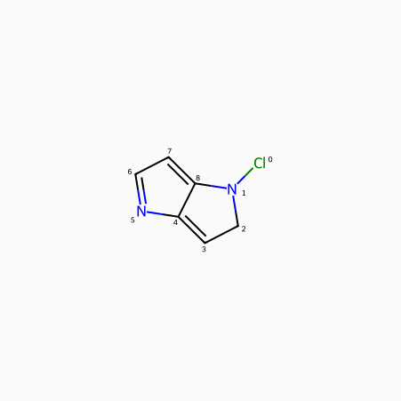 ClN1CC=C2N=CC=C21